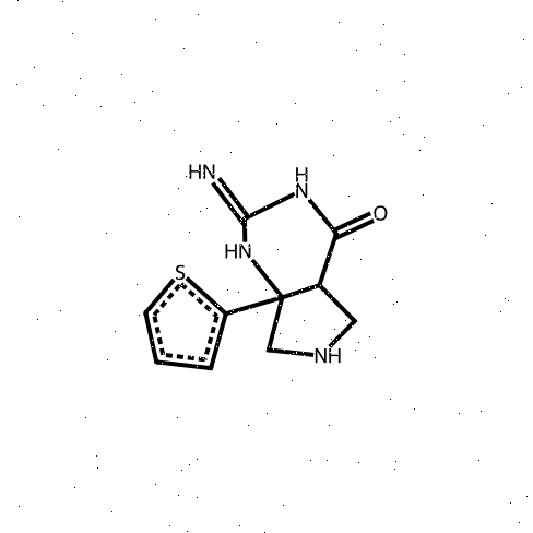 N=C1NC(=O)C2CNCC2(c2cccs2)N1